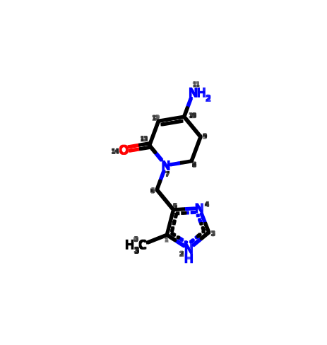 Cc1[nH]cnc1CN1CCC(N)=CC1=O